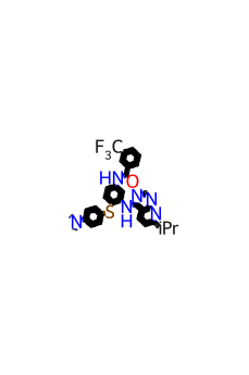 CC(C)c1ccc2c(Nc3cc(NC(=O)c4cccc(C(F)(F)F)c4)ccc3Sc3ccc(N(C)C)cc3)ncnc2n1